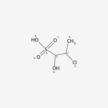 CC(Cl)C(O)S(=O)(=O)O